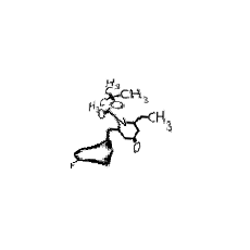 CCC1CC(=O)CC(Cc2ccc(F)cc2)N1C(=O)OC(C)(C)C